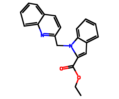 CCOC(=O)c1cc2ccccc2n1Cc1ccc2ccccc2n1